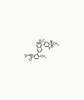 Cc1ccc(C(=O)NC2CC2)cc1-c1ccc2c(-c3cc(F)c(S(C)(=O)=O)cc3C)nncc2c1